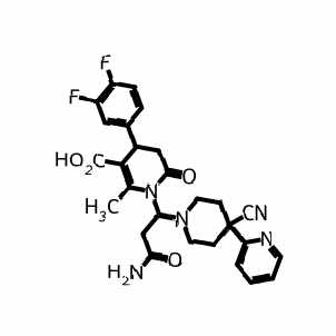 CC1=C(C(=O)O)C(c2ccc(F)c(F)c2)CC(=O)N1C(CC(N)=O)N1CCC(C#N)(c2ccccn2)CC1